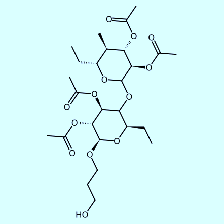 CC[C@H]1O[C@@H](OCCCO)[C@H](OC(C)=O)[C@@H](OC(C)=O)C1OC1O[C@H](CC)[C@@H](C)[C@H](OC(C)=O)[C@H]1OC(C)=O